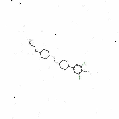 C=CCC[C@H]1CC[C@H](CC[C@H]2CC[C@H](c3cc(F)c(C(F)(F)F)c(F)c3)CC2)CC1